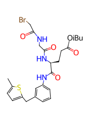 Cc1ccc(Cc2cccc(NC(=O)[C@H](CCC(=O)OCC(C)C)NC(=O)CNC(=O)CBr)c2)s1